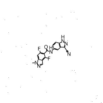 Cn1ncc2c(F)c(C(=O)Nc3ccc4[nH]nc(C#N)c4c3)c(F)cc21